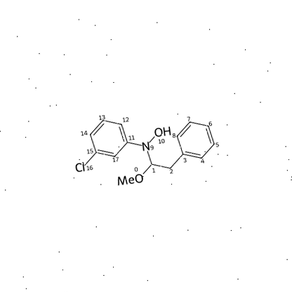 COC(Cc1ccccc1)N(O)c1cccc(Cl)c1